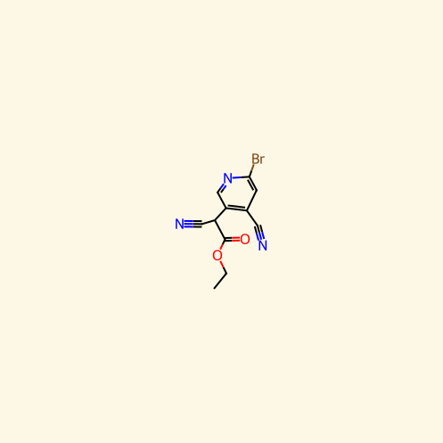 CCOC(=O)C(C#N)c1cnc(Br)cc1C#N